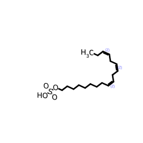 CC/C=C\C/C=C\C/C=C\CCCCCCCCOS(=O)(=O)O